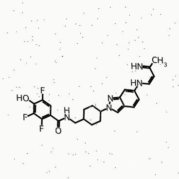 CC(=N)/C=C\Nc1ccc2cn(C3CCC(CNC(=O)c4cc(F)c(O)c(F)c4F)CC3)nc2c1